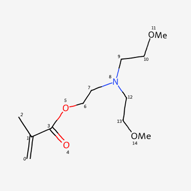 C=C(C)C(=O)OCCN(CCOC)CCOC